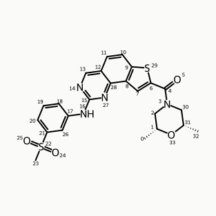 C[C@@H]1CN(C(=O)c2cc3c(ccc4cnc(Nc5cccc(S(C)(=O)=O)c5)nc43)s2)C[C@H](C)O1